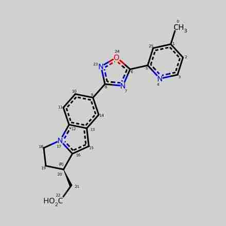 Cc1ccnc(-c2nc(-c3ccc4c(c3)cc3n4CC[C@@H]3CC(=O)O)no2)c1